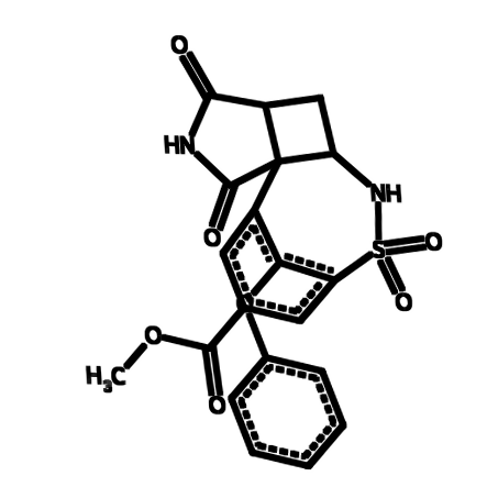 COC(=O)c1cc2c(Oc3ccccc3)c(c1)S(=O)(=O)NC1CC3C(=O)NC(=O)C213